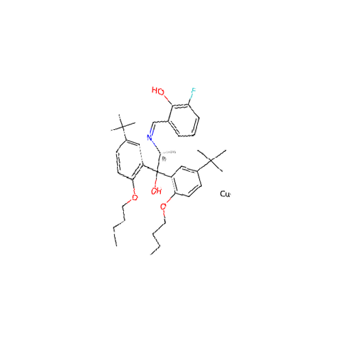 CCCCOc1ccc(C(C)(C)C)cc1C(O)(c1cc(C(C)(C)C)ccc1OCCCC)[C@@H](C)N=Cc1cccc(F)c1O.[Cu]